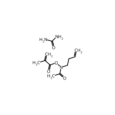 C=CCCN(OC(=O)C(=C)C)C(C)=O.NC(N)=O